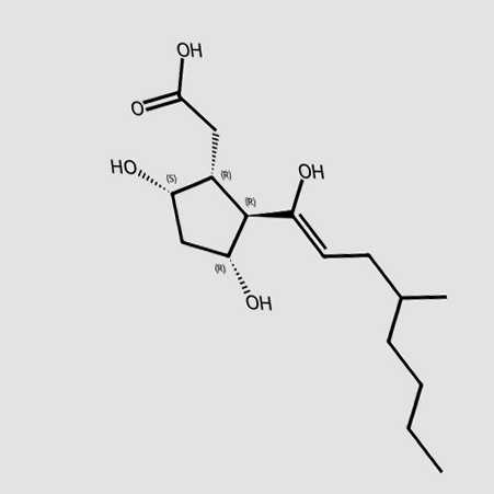 CCCCC(C)CC=C(O)[C@@H]1[C@@H](CC(=O)O)[C@@H](O)C[C@H]1O